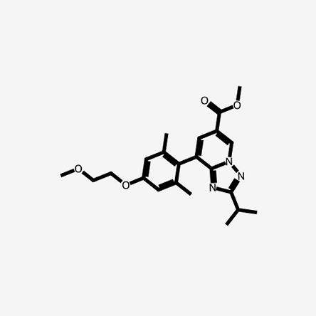 COCCOc1cc(C)c(-c2cc(C(=O)OC)cn3nc(C(C)C)nc23)c(C)c1